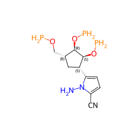 N#Cc1ccc([C@@H]2C[C@H](COP)[C@@H](OP)[C@H]2OP)n1N